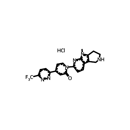 Cl.Cn1c2c(c3ccc(-n4ccc(-c5ccc(C(F)(F)F)nn5)cc4=O)nc31)CNCC2